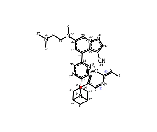 C=C(/C=N\C(=C/C)OC)CN1C2CC1CN(c1cnc(-c3cc(N(C)CCN(C)C)cn4ncc(C#N)c34)cn1)C2